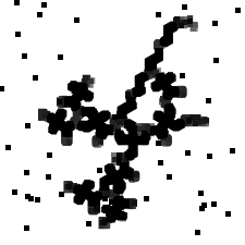 COCC(C)(COC(=O)C(C)(C)Br)C(=O)NCC(CNC(=O)C(C)(COC(=O)C(C)(C)Br)COC(=O)C(C)(C)Br)(CNC(=O)C(C)(COC(=O)C(C)(C)Br)COC(=O)C(C)(C)Br)COCCOCCOCCOCCN